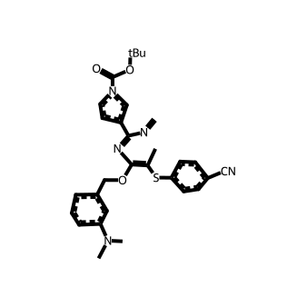 C=N/C(=N\C(OCc1cccc(N(C)C)c1)=C(/C)Sc1ccc(C#N)cc1)c1ccn(C(=O)OC(C)(C)C)c1